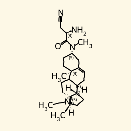 C[C@H]1[C@H]2CC[C@H]3[C@@H]4CC=C5C[C@@H](N(C)C(=O)[C@H](N)CC#N)CC[C@]5(C)C4CC[C@]23CN1C